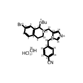 CCCCC1c2cc(Br)ccc2CCN1Cc1cncn1Cc1ccc(C#N)cc1.Cl.Cl